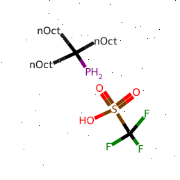 CCCCCCCCC(P)(CCCCCCCC)CCCCCCCC.O=S(=O)(O)C(F)(F)F